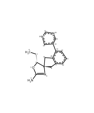 CC[C@H]1OC(N)=N[C@]12Cc1cccc(-c3cncnc3)c1C2